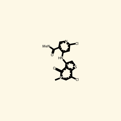 CNC(=O)c1cnc(Cl)cc1Nc1csc2c(Cl)cn(C)c(=O)c12